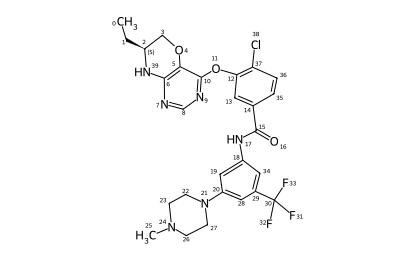 CC[C@H]1COc2c(ncnc2Oc2cc(C(=O)Nc3cc(N4CCN(C)CC4)cc(C(F)(F)F)c3)ccc2Cl)N1